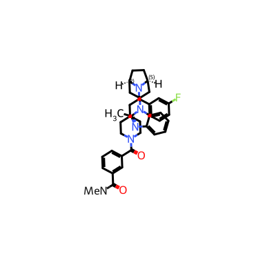 CNC(=O)c1cccc(C(=O)N2CCC(CC(c3cccc(F)c3)N3[C@@H]4CC[C@H]3CC(n3c(C)nc5ccccc53)C4)CC2)c1